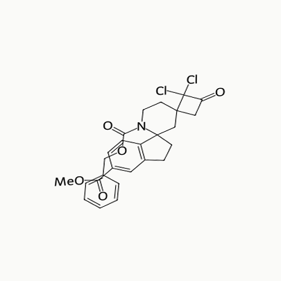 COC(=O)c1ccc2c(c1)CCC21CC2(CCN1C(=O)OCc1ccccc1)CC(=O)C2(Cl)Cl